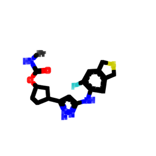 CC(C)NC(=O)OC1CCC(c2cc(Nc3cc4c(cc3F)CSC4)n[nH]2)C1